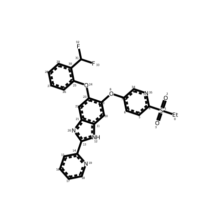 CCS(=O)(=O)c1ccc(Oc2cc3[nH]c(-c4ccccn4)nc3cc2Oc2ccccc2C(F)F)cn1